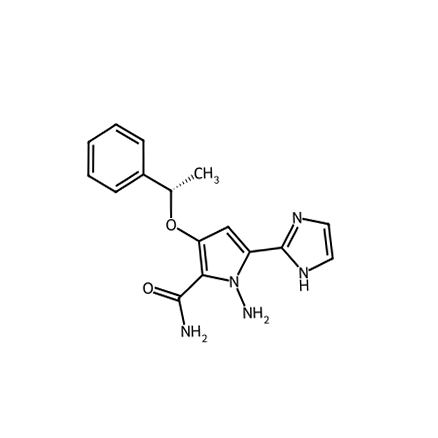 C[C@H](Oc1cc(-c2ncc[nH]2)n(N)c1C(N)=O)c1ccccc1